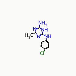 CC1N=C(N)NC(Nc2ccc(Cl)cc2)=N1